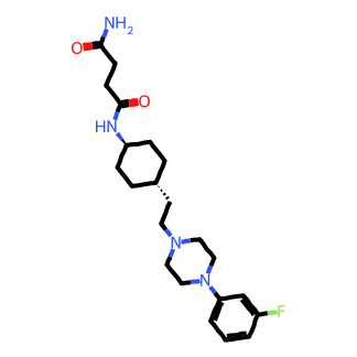 NC(=O)CCC(=O)N[C@H]1CC[C@H](CCN2CCN(c3cccc(F)c3)CC2)CC1